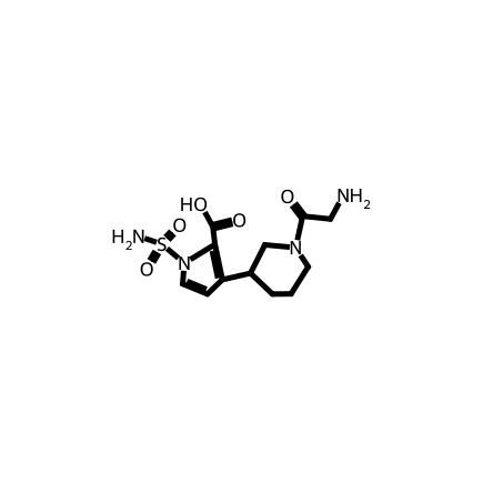 NCC(=O)N1CCCC(c2ccn(S(N)(=O)=O)c2C(=O)O)C1